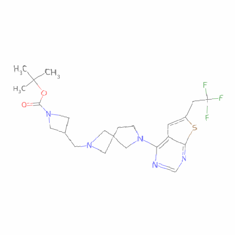 CC(C)(C)OC(=O)N1CC(CN2CC3(CCN(c4ncnc5sc(CC(F)(F)F)cc45)C3)C2)C1